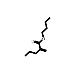 [CH2]CCC(=C)C(=O)OCCCC